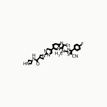 CCc1nc2ccc(-c3cnc(N4CC(C(=O)NC5CNC5)C4)nc3)cn2c1N(C)c1nc(-c2ccc(F)cc2)c(C#N)s1